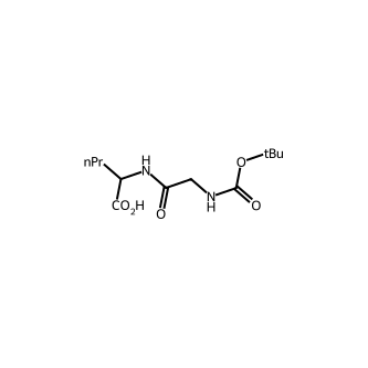 CCCC(NC(=O)CNC(=O)OC(C)(C)C)C(=O)O